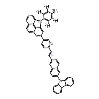 [2H]c1c([2H])c([2H])c(-n2c3cccc4ccc5cc(-c6ccc(/C=C/c7ccc8cc(-n9c%10ccccc%10c%10ccccc%109)ccc8c7)nc6)cc2c5c43)c([2H])c1[2H]